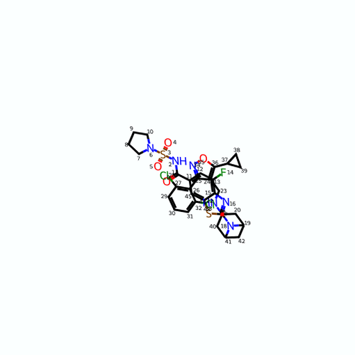 O=C(NS(=O)(=O)N1CCCC1)c1cc(F)c2nc(N3C4CC(NCc5c(-c6c(Cl)cccc6Cl)noc5C5CC5)CC3C4)sc2c1